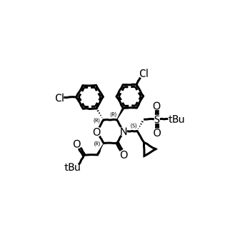 CC(C)(C)C(=O)C[C@H]1O[C@H](c2cccc(Cl)c2)[C@@H](c2ccc(Cl)cc2)N([C@H](CS(=O)(=O)C(C)(C)C)C2CC2)C1=O